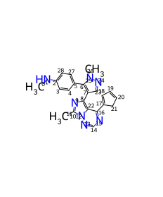 CNc1ccc(-c2c(-c3nc(C)n4ncnc(C5=CC=CC5)c34)cnn2C)cc1